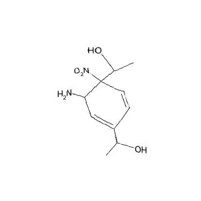 CC(O)C1=CC(N)C(C(C)O)([N+](=O)[O-])C=C1